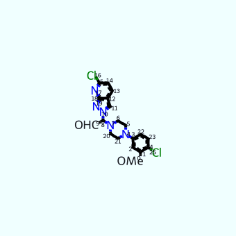 COc1cc(N2CCN(C(C=O)n3cc4ccc(Cl)nc4n3)CC2)ccc1Cl